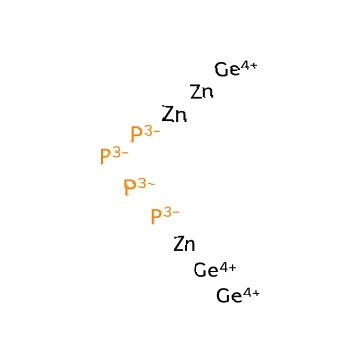 [Ge+4].[Ge+4].[Ge+4].[P-3].[P-3].[P-3].[P-3].[Zn].[Zn].[Zn]